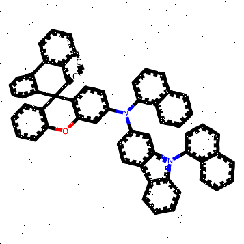 c1ccc2c(c1)Oc1cc(N(c3ccc4c5ccccc5n(-c5cccc6ccccc56)c4c3)c3cccc4ccccc34)ccc1C21c2ccccc2-c2cccc3cccc1c23